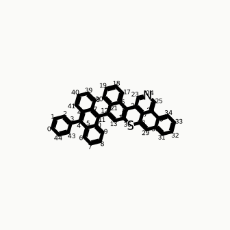 c1ccc(-c2c3ccccc3c(-c3cc4c(c5ccccc35)-c3cncc5c3c(cc3ccccc35)S4)c3ccccc23)cc1